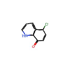 O=C1C=CC(Cl)C2=CC=CNC12